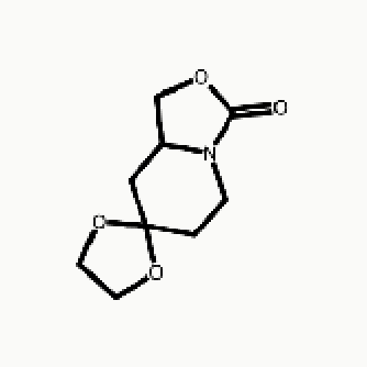 O=C1OCC2CC3(CCN12)OCCO3